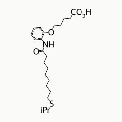 CC(C)SCCCCCCCCC(=O)Nc1ccccc1OCCCCC(=O)O